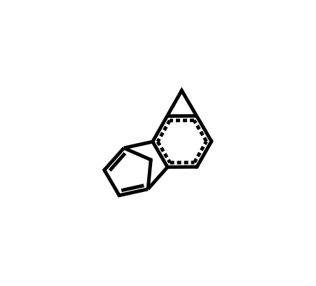 C1=C2CC(=C1)c1c2ccc2c1C2